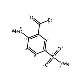 CCC(=O)c1cc(S(=O)(=O)NC)ccc1OC